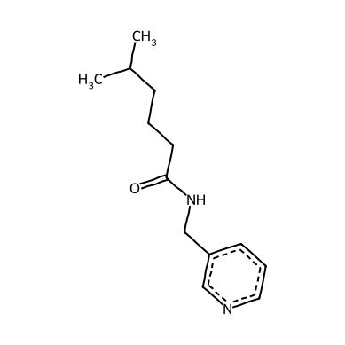 CC(C)CCCC(=O)NCc1cccnc1